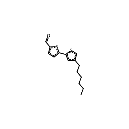 CCCCCCc1csc(-c2ccc(C=O)s2)c1